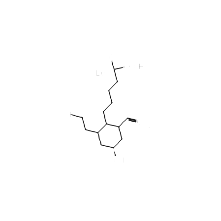 C=CC1C[C@@H](C)CC(CCI)C1CCCC[C@](C)(CC)C(=O)O